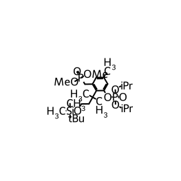 COP(=O)(Cc1cc(C)cc(OP(=O)(OC(C)C)OC(C)C)c1C(C)(C)CCO[Si](C)(C)C(C)(C)C)OC